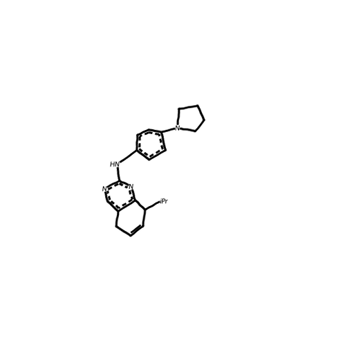 CC(C)C1C=CCc2cnc(Nc3ccc(N4CCCC4)cc3)nc21